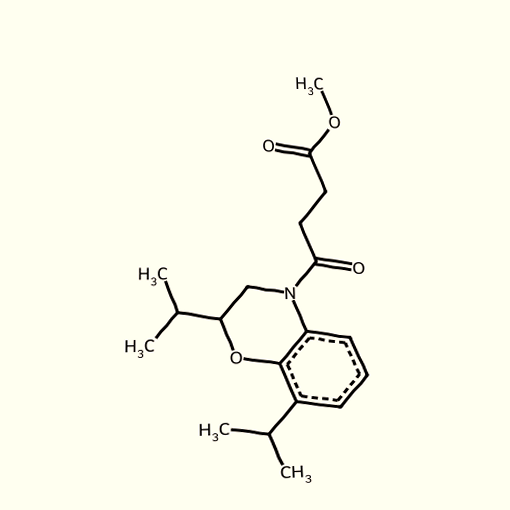 COC(=O)CCC(=O)N1CC(C(C)C)Oc2c(C(C)C)cccc21